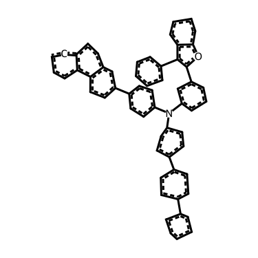 c1ccc(-c2ccc(-c3ccc(N(c4ccc(-c5ccc6c(ccc7ccccc76)c5)cc4)c4cccc(-c5oc6ccccc6c5-c5ccccc5)c4)cc3)cc2)cc1